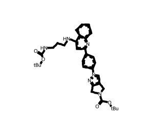 CC(C)(C)OC(=O)NCCCNc1cc(-c2ccc(-n3cc4c(n3)CN(C(=O)OC(C)(C)C)C4)cc2)nc2ccccc12